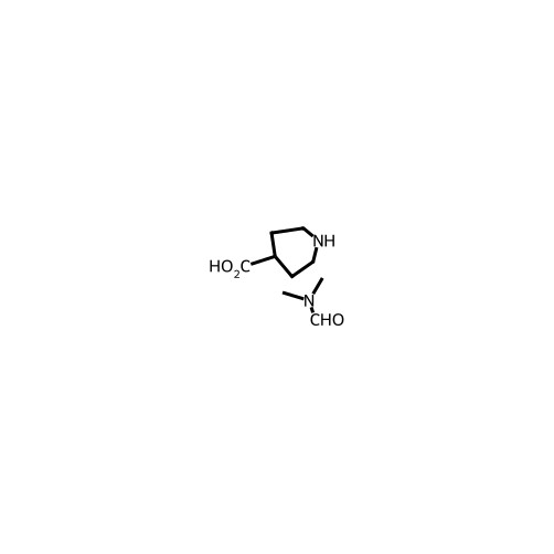 CN(C)C=O.O=C(O)C1CCNCC1